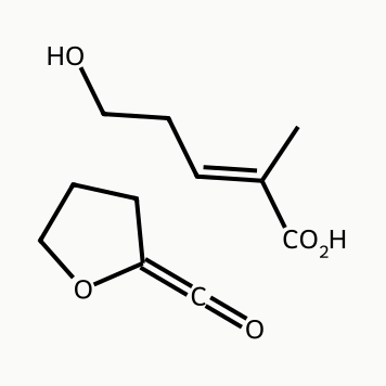 CC(=CCCO)C(=O)O.O=C=C1CCCO1